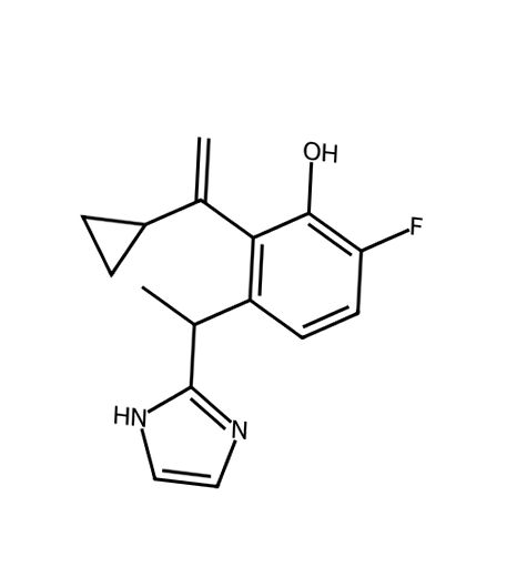 C=C(c1c(C(C)c2ncc[nH]2)ccc(F)c1O)C1CC1